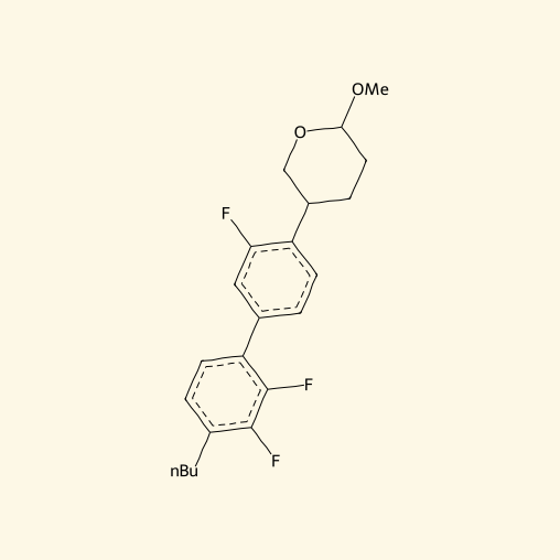 CCCCc1ccc(-c2ccc(C3CCC(OC)OC3)c(F)c2)c(F)c1F